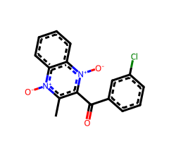 Cc1c(C(=O)c2cccc(Cl)c2)[n+]([O-])c2ccccc2[n+]1[O-]